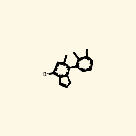 Cc1cccc(-c2c(C)cc(Br)c3c2CC=C3)c1C